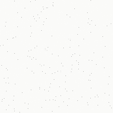 [C-]#[N+]c1ncc([N+](=O)[O-])cc1C